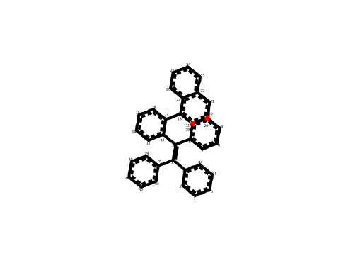 c1ccc(C(=C(c2ccccc2)c2ccccc2-c2nccc3ccccc23)c2ccccc2)cc1